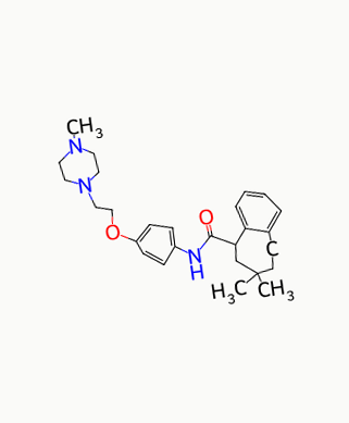 CN1CCN(CCOc2ccc(NC(=O)C3CC(C)(C)CCc4ccccc43)cc2)CC1